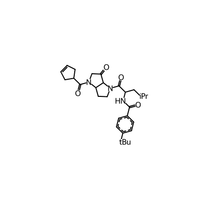 CC(C)CC(NC(=O)c1ccc(C(C)(C)C)cc1)C(=O)N1CCC2C1C(=O)CN2C(=O)C1CC=CC1